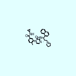 Cc1ccc(C(=O)NC2CC2)cc1-n1ccnc(N[C@@H](c2cccc3ccccc23)[C@@H](C)CN2CCCC2)c1=O